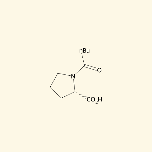 CCCCC(=O)N1CCC[C@H]1C(=O)O